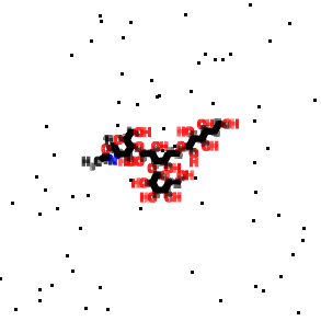 CC1=NC2[C@@H](O1)OC(CO)[C@@H](O[C@H](O)C(O)[C@@H](O[C@H]1O[C@@H](CO)[C@@H](O)C(O)C1O)[C@H](O)CCO[C@@H](O)[C@H](O)C(O)[C@H](O)CCO)[C@@H]2O